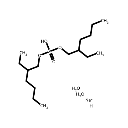 CCCCC(CC)COP(=O)(O)OCC(CC)CCCC.O.O.[H-].[Na+]